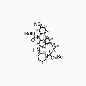 CC(C)(C)OC(=O)N1CCCC[C@H](Nc2cc(N(C(=O)OC(C)(C)C)c3cccc(C#N)c3)n3ncc(C4CC4)c3n2)C1